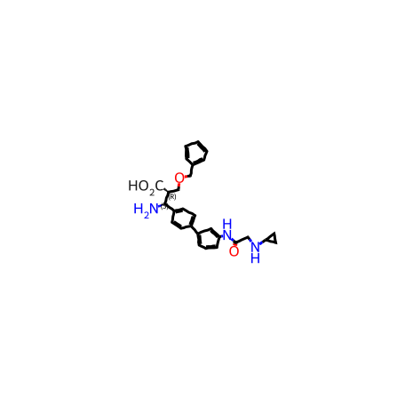 N[C@H](c1ccc(-c2cccc(NC(=O)CNC3CC3)c2)cc1)[C@H](COCc1ccccc1)C(=O)O